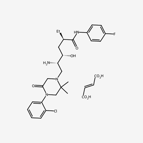 CC[C@H](C[C@H](O)[C@@H](N)CN1CC(=O)N(c2ccccc2Cl)CC1(C)C)C(=O)Nc1ccc(F)cc1.O=C(O)/C=C/C(=O)O